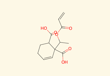 C=CC(=O)OC(C)C1(C(=O)O)C=CCCC1C(=O)O